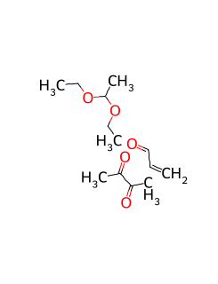 C=CC=O.CC(=O)C(C)=O.CCOC(C)OCC